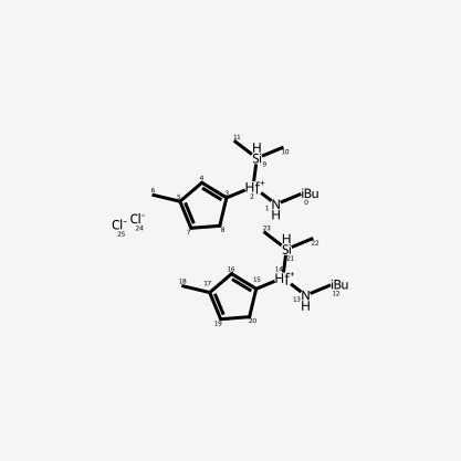 CCC(C)[NH][Hf+]([C]1=CC(C)=CC1)[SiH](C)C.CCC(C)[NH][Hf+]([C]1=CC(C)=CC1)[SiH](C)C.[Cl-].[Cl-]